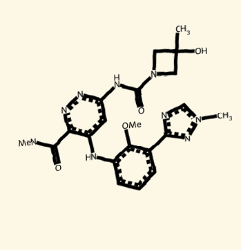 CNC(=O)c1nnc(NC(=O)N2CC(C)(O)C2)cc1Nc1cccc(-c2ncn(C)n2)c1OC